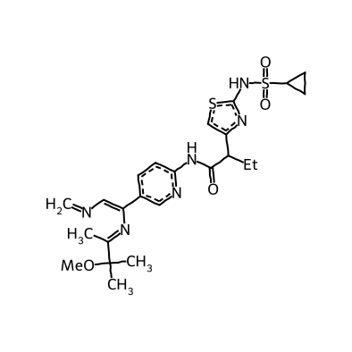 C=N/C=C(\N=C(/C)C(C)(C)OC)c1ccc(NC(=O)C(CC)c2csc(NS(=O)(=O)C3CC3)n2)nc1